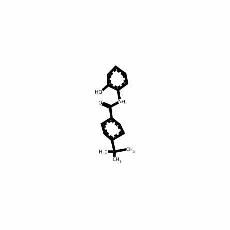 CC(C)(C)c1ccc(C(=O)Nc2ccccc2O)cc1